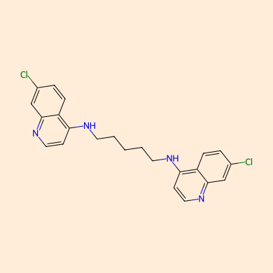 Clc1ccc2c(NCCCCCNc3ccnc4cc(Cl)ccc34)ccnc2c1